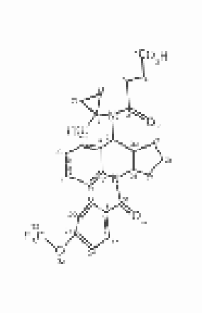 CC1(N(C(=O)CCC(=O)O)C2c3ccccc3N(C(=O)c3ccc(OC(F)(F)F)cc3)C3CCCC32)CC1